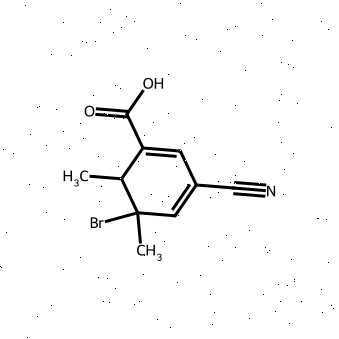 CC1C(C(=O)O)=CC(C#N)=CC1(C)Br